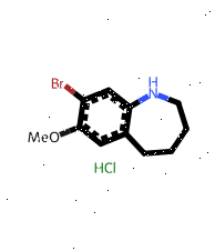 COc1cc2c(cc1Br)NCCCC2.Cl